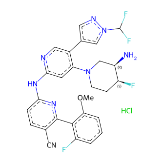 COc1cccc(F)c1-c1nc(Nc2cc(N3CC[C@H](F)[C@H](N)C3)c(-c3cnn(C(F)F)c3)cn2)ccc1C#N.Cl